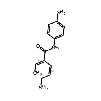 C/C=C(\C=C/CN)C(=O)Nc1ccc(N)cc1